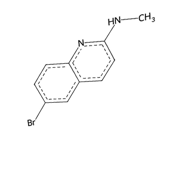 CNc1ccc2cc(Br)ccc2n1